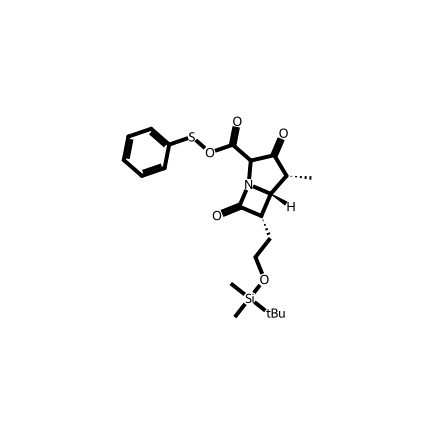 C[C@H]1C(=O)C(C(=O)OSc2ccccc2)N2C(=O)[C@@H](CCO[Si](C)(C)C(C)(C)C)[C@@H]12